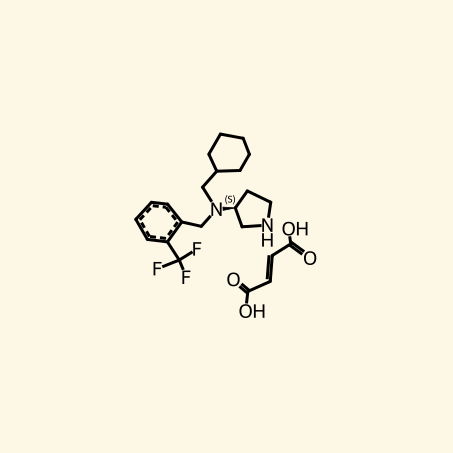 FC(F)(F)c1ccccc1CN(CC1CCCCC1)[C@H]1CCNC1.O=C(O)C=CC(=O)O